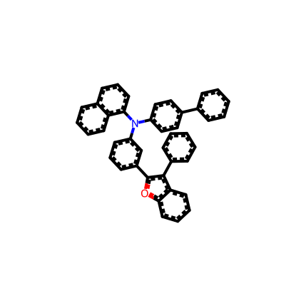 c1ccc(-c2ccc(N(c3cccc(-c4oc5ccccc5c4-c4ccccc4)c3)c3cccc4ccccc34)cc2)cc1